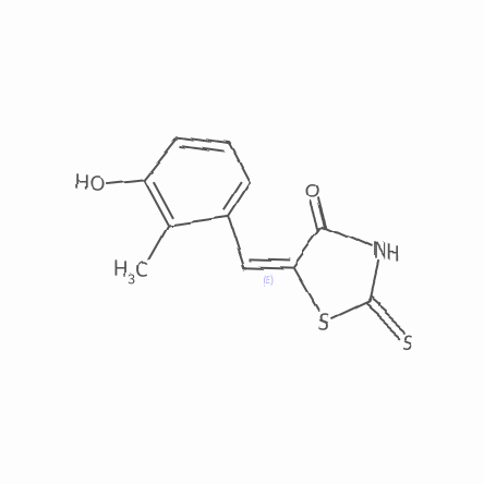 Cc1c(O)cccc1/C=C1/SC(=S)NC1=O